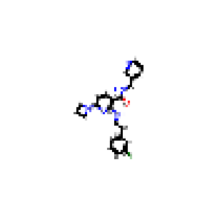 O=C(NCc1cccnc1)c1ccc(N2CCC2)nc1NCCc1cccc(F)c1